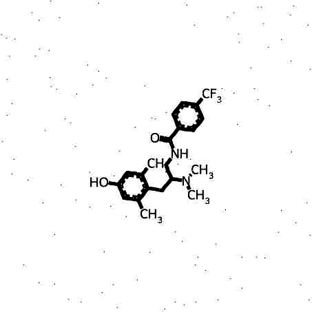 Cc1cc(O)cc(C)c1CC(CNC(=O)c1ccc(C(F)(F)F)cc1)N(C)C